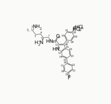 C[C@H](N)CC[C@H](N)CNC(=O)c1[nH]c2cc(-c3ccc(F)cc3)ccc2c1-c1ccc(F)cc1.Cl.Cl